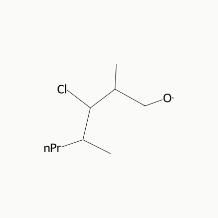 CCCC(C)C(Cl)C(C)C[O]